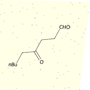 CCCCCC(=O)CC[C]=O